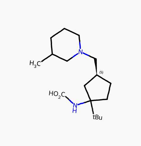 CC1CCCN(C[C@H]2CCC(NC(=O)O)(C(C)(C)C)C2)C1